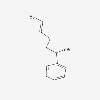 CCC=CCCC(CCC)c1ccccc1